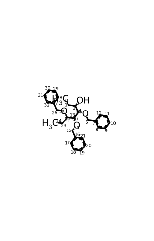 CCC(O)[C@H](OCc1ccccc1)[C@H](OCc1ccccc1)[C@@H](CC)OCc1ccccc1